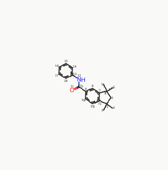 CC1(C)CC(C)(C)c2cc(C(=O)Nc3ccccc3)ccc21